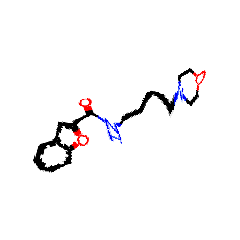 O=C(NCCCCN1CCOCC1)c1cc2ccccc2o1